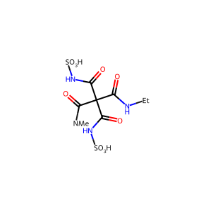 CCNC(=O)C(C(=O)NC)(C(=O)NS(=O)(=O)O)C(=O)NS(=O)(=O)O